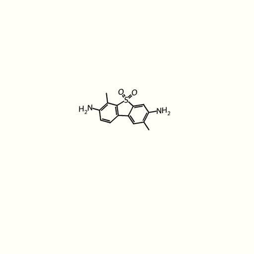 Cc1cc2c(cc1N)S(=O)(=O)c1c-2ccc(N)c1C